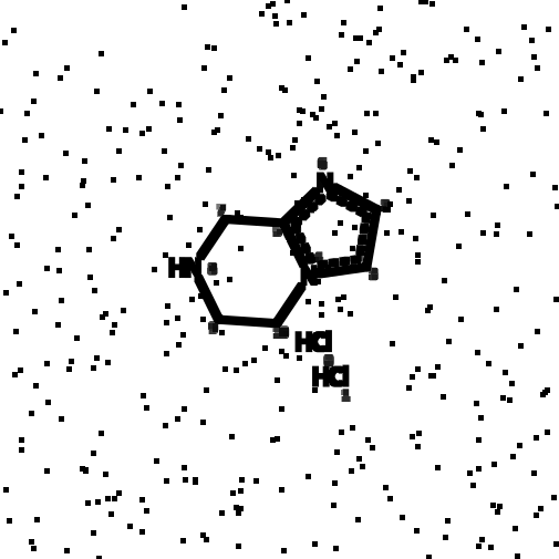 Cl.Cl.c1cn2c(n1)CNCC2